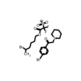 CC(Br)CCCCOC(=O)C(F)(F)S(=O)(=O)[O-].O=C(C[S+]1CCCCC1)c1ccc(Br)cc1